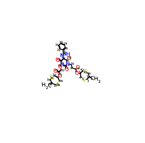 C=C1CSCC(OC(=O)CCN2C(=O)/C(=N\Nc3ccccc3)C(=O)N(OCC(=O)OC3CSCC(=C)CSC3)C2=O)CSC1